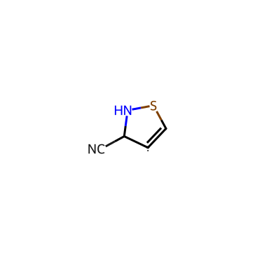 N#CC1[C]=CSN1